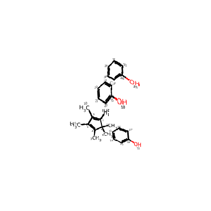 CC1=C(C)C(C)(C)[C]([Hf])=C1C.Oc1ccccc1.Oc1ccccc1.Oc1ccccc1